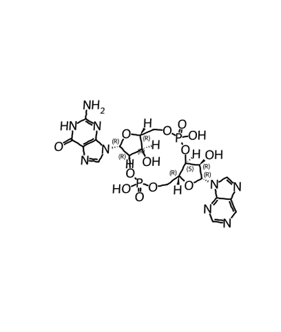 Nc1nc2c(ncn2[C@@H]2O[C@@H]3COP(=O)(O)O[C@H]4[C@@H](O)[C@H](n5cnc6cncnc65)O[C@@H]4COP(=O)(O)O[C@@H]2[C@@H]3O)c(=O)[nH]1